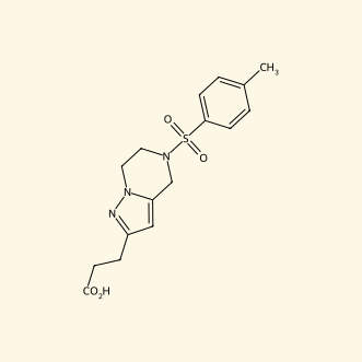 Cc1ccc(S(=O)(=O)N2CCn3nc(CCC(=O)O)cc3C2)cc1